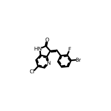 O=C1Nc2cc(Cl)cnc2/C1=C\c1cccc(Br)c1F